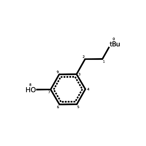 CC(C)(C)CCc1cccc(O)c1